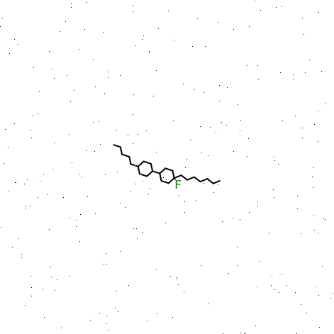 CCCCCCCC1(F)CCC(C2CCC(CCCCC)CC2)CC1